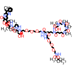 CCc1c2c(nc3ccccc13)-c1cc3c(c(=O)n1C2)COC(=O)[C@@]3(CC)OC(=O)[C@@H](NC(=O)[C@@H]1CCCN1C(=O)[C@H](CC(=O)O)NC(=O)CCOCCOCCOCCNC(=O)[C@H](CCCCNC(=O)CCCC(=O)N(C)CC(=O)N(C)CC(=O)N(C)CC(=O)N(C)CC(=O)O)NC(=O)CCOCCOCCOCCNC(=O)OC(C)(C)C)C(C)C